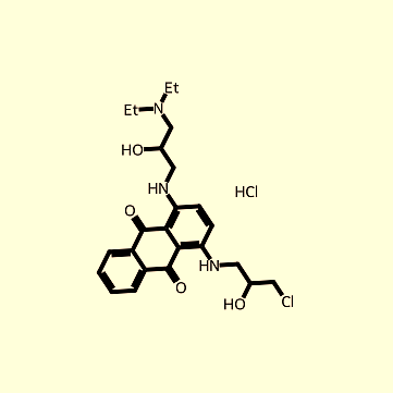 CCN(CC)CC(O)CNc1ccc(NCC(O)CCl)c2c1C(=O)c1ccccc1C2=O.Cl